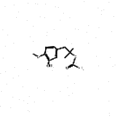 COc1ccc(CC(C)(C)OC(N)=O)cc1O